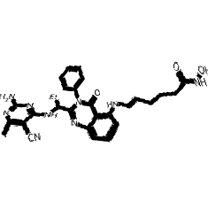 CCC(Nc1nc(N)nc(C)c1C#N)c1nc2cccc(NCCCCCC(=O)NO)c2c(=O)n1-c1ccccc1